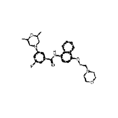 CC1CN(c2cc(F)cc(C(=O)Nc3ccc(OCCN4CCOCC4)c4ccccc34)c2)CC(C)O1